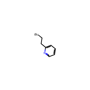 CCC(C)CCc1ccccn1